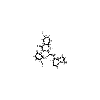 C[C@H](Nc1ncnc2[nH]cnc12)c1nc2ccc(F)cc2c(=O)n1-c1cccc(F)c1